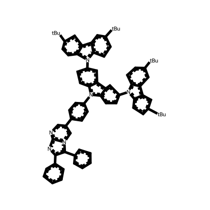 CC(C)(C)c1ccc2c(c1)c1cc(C(C)(C)C)ccc1n2-c1ccc2c(c1)c1cc(-n3c4ccc(C(C)(C)C)cc4c4cc(C(C)(C)C)ccc43)ccc1n2-c1ccc(-c2cnc3nc(-c4ccccc4)c(-c4ccccc4)n3c2)cc1